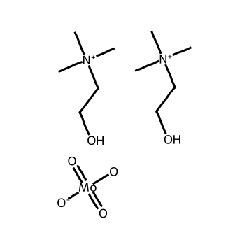 C[N+](C)(C)CCO.C[N+](C)(C)CCO.[O]=[Mo](=[O])([O-])[O-]